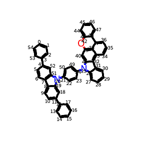 c1ccc(-c2ccc3c4ccc(-c5ccccc5)cc4n(-c4ccc(-n5c6ccccc6c6c7cccc8c7c(cc65)Oc5ccccc5-8)cc4)c3c2)cc1